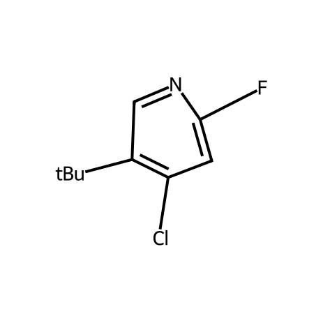 CC(C)(C)c1cnc(F)cc1Cl